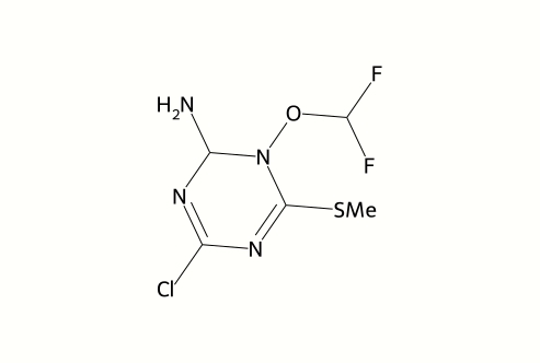 CSC1=NC(Cl)=NC(N)N1OC(F)F